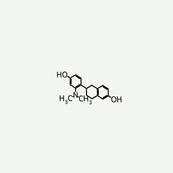 CN(C)c1cc(O)ccc1C1CCc2cc(O)ccc2C1